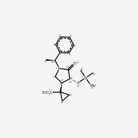 CCOC(=O)C1([C@H]2CN([C@@H](C)c3ccccc3)C(=O)[C@@H]2O[Si](C)(C)C(C)(C)C)CC1